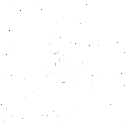 CC1(C)OB(c2ccc3c(c2)C2(c4ccccc4-c4ccc5ccccc5c42)c2ccccc2N3c2ccccc2)OC1(C)C